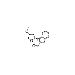 CO[C]1COC(n2c(C=O)cc3ccccc32)C1